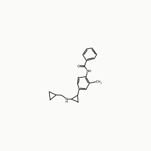 Cc1cc(C2CC2NCC2CC2)ccc1NC(=O)c1ccccc1